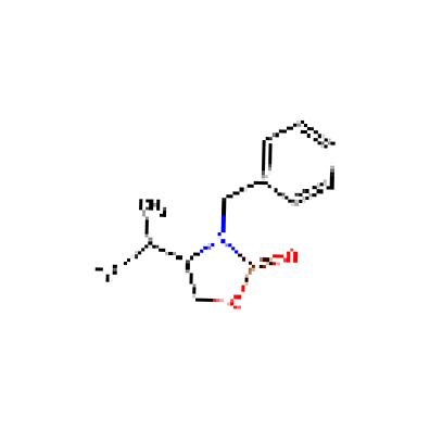 CC(C)C1COS(=O)N1Cc1ccccc1